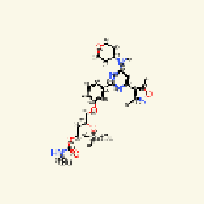 Cc1noc(C)c1-c1cc(N(C)C2CCOCC2)nc(-c2cccc(OCC(CCOC(=O)NC(C)(C)C)O[Si](C)(C)C(C)(C)C)c2)n1